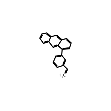 C=Cc1cccc(-c2cccc3cc4ccccc4cc23)c1